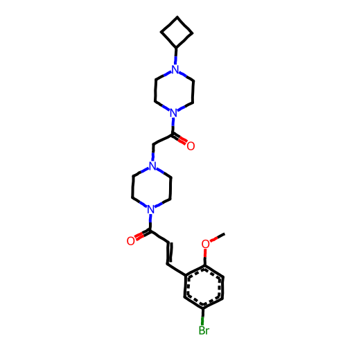 COc1ccc(Br)cc1C=CC(=O)N1CCN(CC(=O)N2CCN(C3CCC3)CC2)CC1